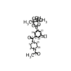 CC(=O)N1CCN(C(=O)c2cc(Cl)cc(B3OC(C)(C)C(C)(C)O3)c2)CC1